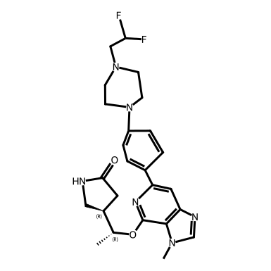 C[C@@H](Oc1nc(-c2ccc(N3CCN(CC(F)F)CC3)cc2)cc2ncn(C)c12)[C@H]1CNC(=O)C1